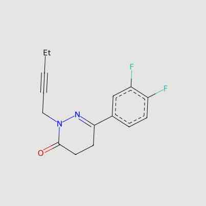 CCC#CCN1N=C(c2ccc(F)c(F)c2)CCC1=O